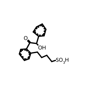 O=C(c1ccccc1CCCCS(=O)(=O)O)C(O)c1ccccc1